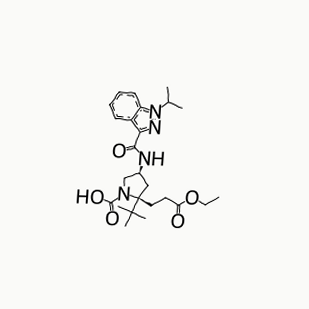 CCOC(=O)CC[C@]1(C(C)(C)C)C[C@H](NC(=O)c2nn(C(C)C)c3ccccc23)CN1C(=O)O